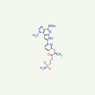 CNc1nc2[nH]c(-c3cccc(CN(C)C(=O)CCCS(N)(=O)=O)n3)cc2c2c1ncn2C